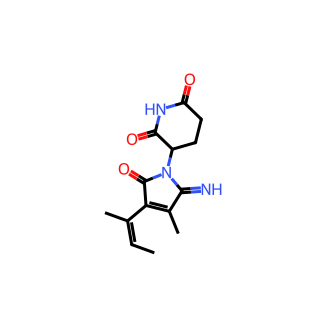 C/C=C(/C)C1=C(C)C(=N)N(C2CCC(=O)NC2=O)C1=O